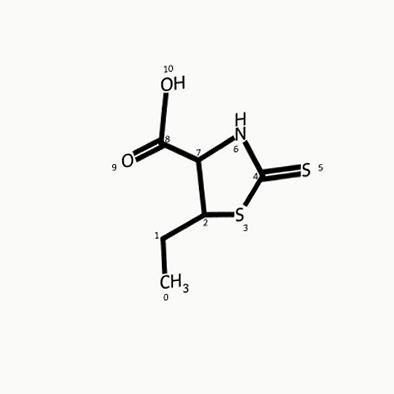 CCC1SC(=S)NC1C(=O)O